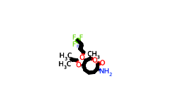 CC(C)CO[C@H]1CCC[C@H](N)C(=O)O[C@@H](C)[C@@H]1OC/C=C/C(F)(F)F